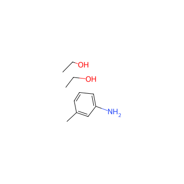 CCO.CCO.Cc1cccc(N)c1